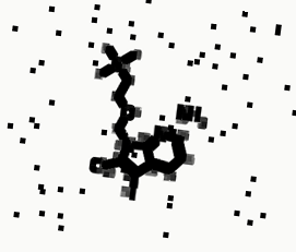 C[Si](C)(C)CCOCn1c(Cl)c(I)c2cccnc21.N